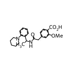 COc1cc(CC(=O)NC(C)c2ccccc2N2CCCCC2)ccc1C(=O)O